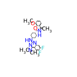 COc1cccc([C@@H](C)NC(=O)[C@H]2CC[C@@H](Nc3nc(N(C)C)c4cc(F)c(F)cc4n3)CC2)c1